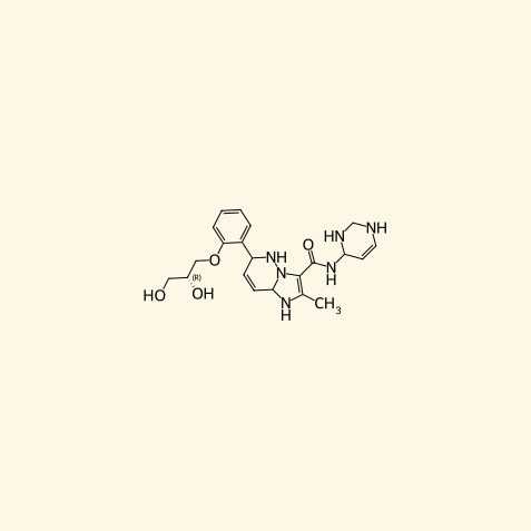 CC1=C(C(=O)NC2C=CNCN2)N2NC(c3ccccc3OC[C@H](O)CO)C=CC2N1